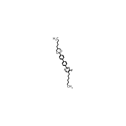 CCCCCCCc1cnc(-c2ccc(-c3ccc(C4OCC(CCCCC)CO4)cc3)cc2)nc1F